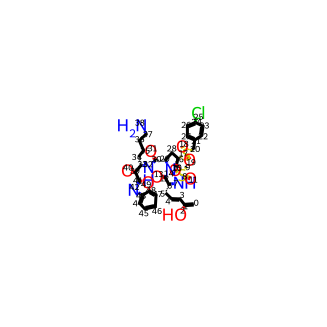 C=C(O)/C=C/C[C@@H](NS(C)(=O)=O)C(=O)N1C[C@H](S(=O)(=O)Cc2ccc(Cl)cc2)C[C@H]1C(=O)N[C@@H](CCCCN)C(=O)c1nc2ccccc2o1